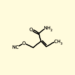 CC=C(COC#N)C(N)=O